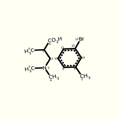 CC(CN(C)C)C(=O)O.Cc1cccc(Br)c1